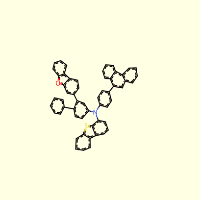 c1ccc(-c2ccc(N(c3ccc(-c4cc5ccccc5c5ccccc45)cc3)c3cccc4c3sc3ccccc34)cc2-c2ccc3c(c2)oc2ccccc23)cc1